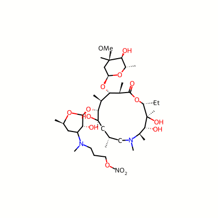 CC[C@H]1OC(=O)[C@H](C)[C@@H](O[C@H]2C[C@@](C)(OC)[C@@H](O)[C@H](C)O2)[C@H](C)[C@@H](O[C@@H]2O[C@H](C)CC(N(C)CCCO[N+](=O)[O-])[C@H]2O)[C@](C)(O)C[C@@H](C)CN(C)[C@H](C)[C@@H](O)[C@]1(C)O